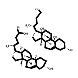 CC(C)C(O)CC[C@@H](C)[C@H]1CC[C@H]2[C@@H]3CC=C4C[C@@H](O)CC[C@]4(C)[C@H]3CC[C@]12C.CC(C)CCC[C@@H](C)[C@H]1CC[C@H]2[C@@H]3CC=C4C[C@@H](O)CC[C@]4(C)[C@H]3CC[C@]12C